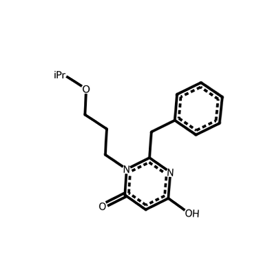 CC(C)OCCCn1c(Cc2ccccc2)nc(O)cc1=O